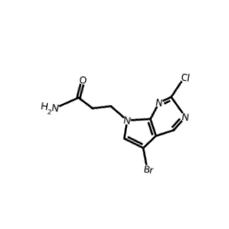 NC(=O)CCn1cc(Br)c2cnc(Cl)nc21